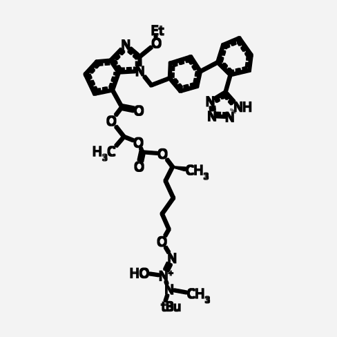 CCOc1nc2cccc(C(=O)OC(C)OC(=O)O[C@@H](C)CCCCO/N=[N+](\O)N(C)C(C)(C)C)c2n1Cc1ccc(-c2ccccc2-c2nnn[nH]2)cc1